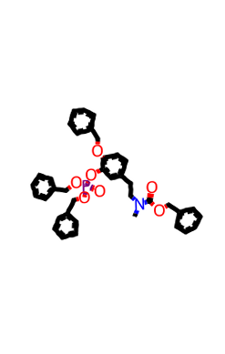 CN(CCc1ccc(OCc2ccccc2)c(OP(=O)(OCc2ccccc2)OCc2ccccc2)c1)C(=O)OCc1ccccc1